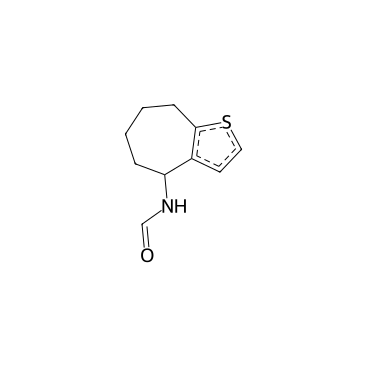 O=CNC1CCCCc2sccc21